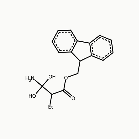 CCC(C(=O)OCC1c2ccccc2-c2ccccc21)C(N)(O)O